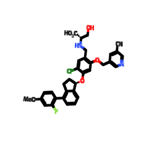 COc1ccc(-c2cccc3c2CC[C@@H]3Oc2cc(OCc3cncc(C#N)c3)c(CN[C@@H](CO)C(=O)O)cc2Cl)c(F)c1